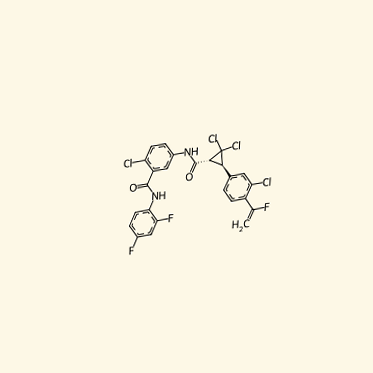 C=C(F)c1ccc([C@H]2[C@H](C(=O)Nc3ccc(Cl)c(C(=O)Nc4ccc(F)cc4F)c3)C2(Cl)Cl)cc1Cl